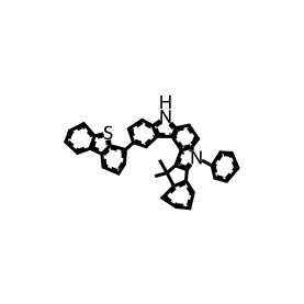 CC1(C)c2ccccc2-c2c1c1c3c(ccc1n2-c1ccccc1)[nH]c1ccc(-c2cccc4c2sc2ccccc24)cc13